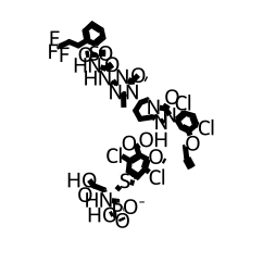 C#CCOc1cc(-n2nc3n(c2=O)CCCC3)c(Cl)cc1Cl.COc1c(Cl)ccc(Cl)c1C(=O)O.COc1nc(C)nc(NC(=O)NS(=O)(=O)c2ccccc2CCC(F)(F)F)n1.C[S+](C)C.O=C(O)CNCP(=O)([O-])O